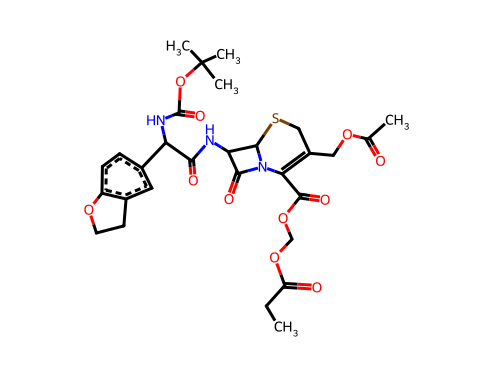 CCC(=O)OCOC(=O)C1=C(COC(C)=O)CSC2C(NC(=O)C(NC(=O)OC(C)(C)C)c3ccc4c(c3)CCO4)C(=O)N12